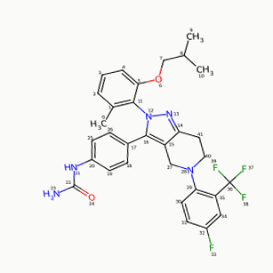 Cc1cccc(OCC(C)C)c1-n1nc2c(c1-c1ccc(NC(N)=O)cc1)CN(c1ccc(F)cc1C(F)(F)F)CC2